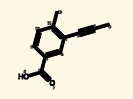 CC#Cc1cc(C(=O)O)ccc1C